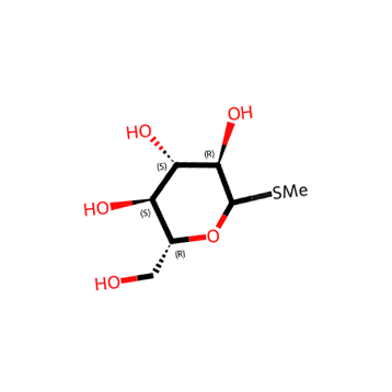 CSC1O[C@H](CO)[C@@H](O)[C@H](O)[C@H]1O